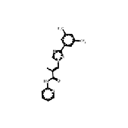 C/C(=C\n1cnc(-c2cc(C(F)(F)F)cc(C(F)(F)F)c2)n1)C(=O)Nc1ccccn1